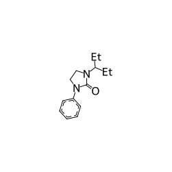 [CH2]CC(C[CH2])N1CCN(c2ccccc2)C1=O